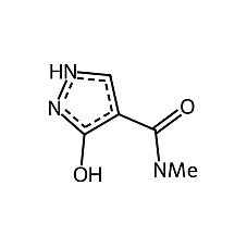 CNC(=O)c1c[nH]nc1O